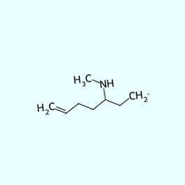 [CH2]CC(CCC=C)NC